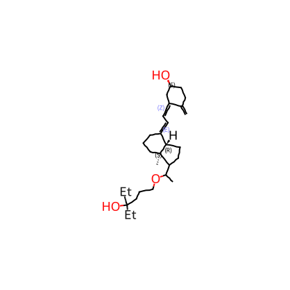 C=C1CC[C@H](O)C/C1=C/C=C1\CCC[C@]2(C)C(C(C)OCCCC(O)(CC)CC)CC[C@@H]12